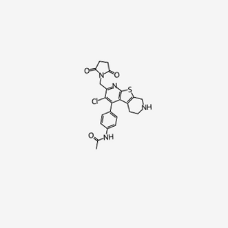 CC(=O)Nc1ccc(-c2c(Cl)c(CN3C(=O)CCC3=O)nc3sc4c(c23)CCNC4)cc1